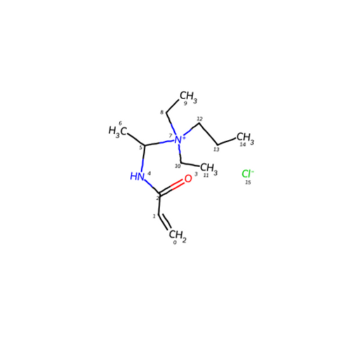 C=CC(=O)NC(C)[N+](CC)(CC)CCC.[Cl-]